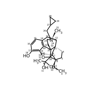 CO[C@]12CC[C@@]3(C[C@@H]1C(C)(C)O)C1Cc4ccc(O)c5c4[C@@]3(CC[N@+]1(C)CC1CC1)C2O5